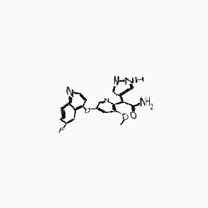 COc1cc(Oc2ccnc3ccc(F)cc23)cnc1C(C(N)=O)c1cn[nH]c1